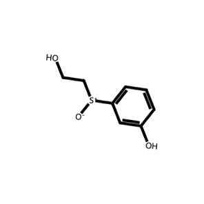 [O-][S+](CCO)c1cccc(O)c1